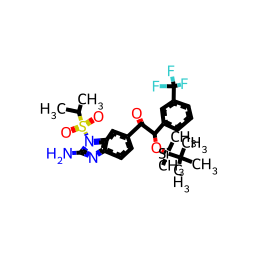 CC(C)S(=O)(=O)n1c(N)nc2ccc(C(=O)C(O[Si](C)(C)C(C)(C)C)c3cccc(C(F)(F)F)c3)cc21